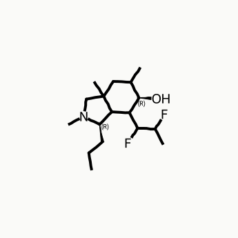 CCC[C@@H]1C2C(C(F)C(C)F)[C@H](O)C(C)CC2(C)CN1C